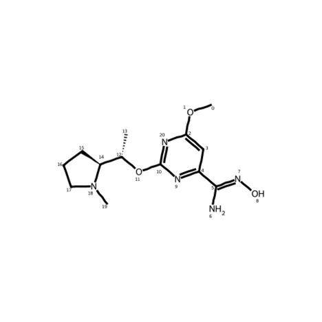 COc1cc(/C(N)=N/O)nc(O[C@@H](C)[C@@H]2CCCN2C)n1